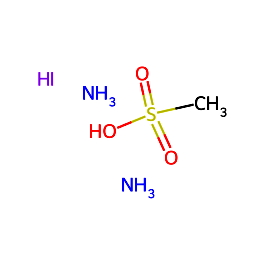 CS(=O)(=O)O.I.N.N